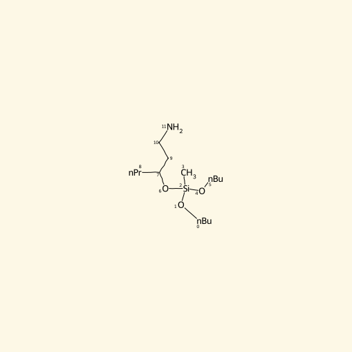 CCCCO[Si](C)(OCCCC)OC(CCC)CCN